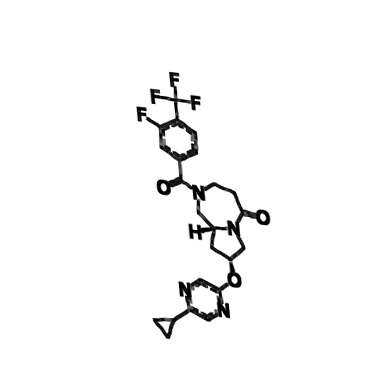 O=C(c1ccc(C(F)(F)F)c(F)c1)N1CCC(=O)N2C[C@@H](Oc3cnc(C4CC4)cn3)C[C@@H]2C1